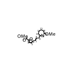 COC(=O)c1ccc(C=CCC2CCCCC(OC)=N2)o1